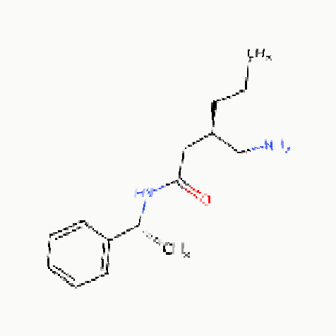 CCC[C@@H](CN)CC(=O)N[C@H](C)c1ccccc1